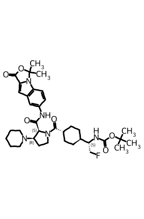 CC(C)(C)OC(=O)N[C@H](CF)[C@H]1CC[C@H](C(=O)N2CC[C@@H](N3CCCCC3)[C@H]2C(=O)Nc2ccc3c(c2)cc2n3C(C)(C)OC2=O)CC1